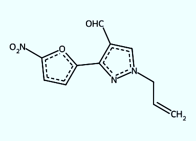 C=CCn1cc(C=O)c(-c2ccc([N+](=O)[O-])o2)n1